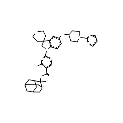 CC(=O)C1(NC(=O)c2cnc(N3CC4(CCOCC4)c4cc(OC5CCN(c6ncccn6)CC5)ccc43)nc2C(F)(F)F)C2CC3CC(C2)CC1C3